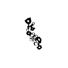 O=C(c1ccccc1)c1ccccc1N[C@H](Cc1ccc(OCCN(C(=O)C2CCC2)c2ccccc2)cc1)C(=O)O